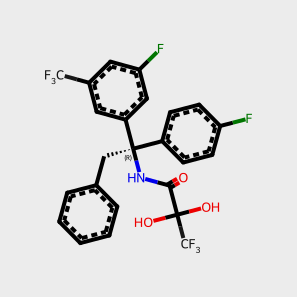 O=C(N[C@](Cc1ccccc1)(c1ccc(F)cc1)c1cc(F)cc(C(F)(F)F)c1)C(O)(O)C(F)(F)F